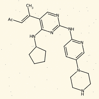 CC(=O)C=C(C)c1cnc(Nc2ccc(N3CCNCC3)cn2)nc1NC1CCCC1